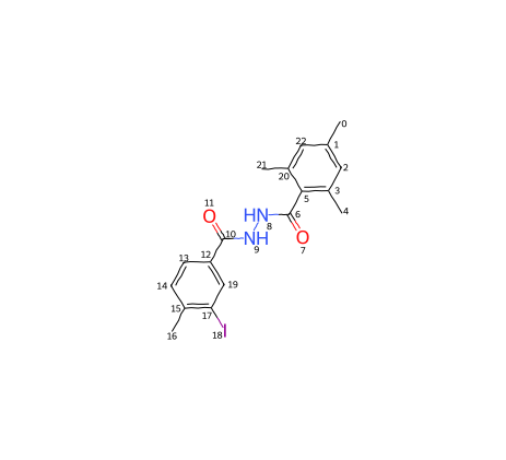 Cc1cc(C)c(C(=O)NNC(=O)c2ccc(C)c(I)c2)c(C)c1